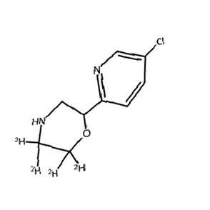 [2H]C1([2H])NCC(c2ccc(Cl)cn2)OC1([2H])[2H]